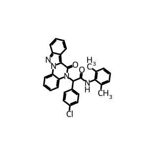 Cc1cccc(C)c1NC(=O)C(c1ccc(Cl)cc1)n1c(=O)c2c3ccccc3nn2c2ccccc21